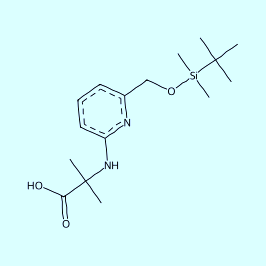 CC(C)(Nc1cccc(CO[Si](C)(C)C(C)(C)C)n1)C(=O)O